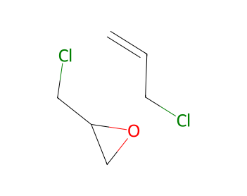 C=CCCl.ClCC1CO1